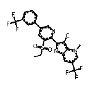 CCS(=O)(=O)c1cc(-c2cccc(C(F)(F)F)c2)cnc1-c1nc2cc(C(F)(F)F)cn(C)c-2c1Cl